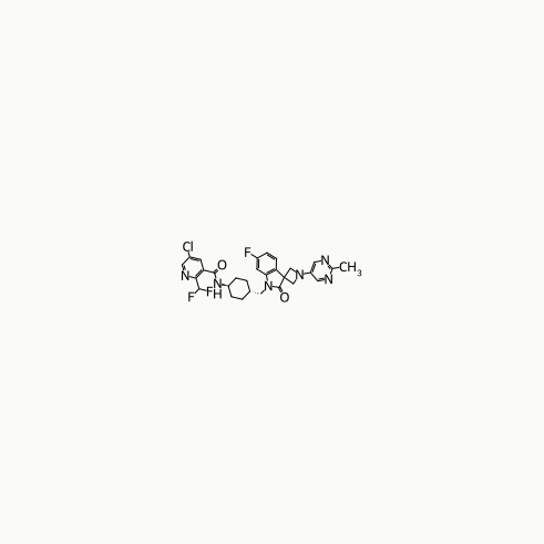 Cc1ncc(N2CC3(C2)C(=O)N(C[C@H]2CC[C@H](NC(=O)c4cc(Cl)cnc4C(F)F)CC2)c2cc(F)ccc23)cn1